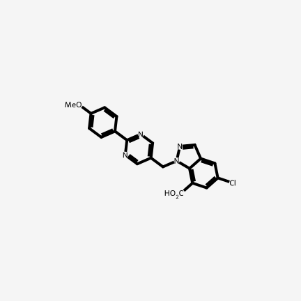 COc1ccc(-c2ncc(Cn3ncc4cc(Cl)cc(C(=O)O)c43)cn2)cc1